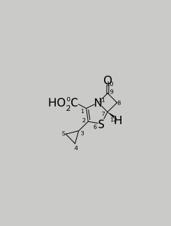 O=C(O)C1=C(C2CC2)S[C@H]2CC(=O)N12